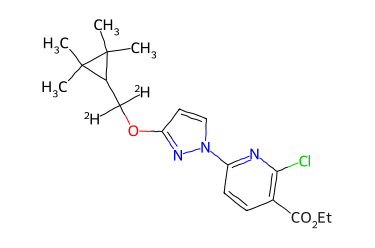 [2H]C([2H])(Oc1ccn(-c2ccc(C(=O)OCC)c(Cl)n2)n1)C1C(C)(C)C1(C)C